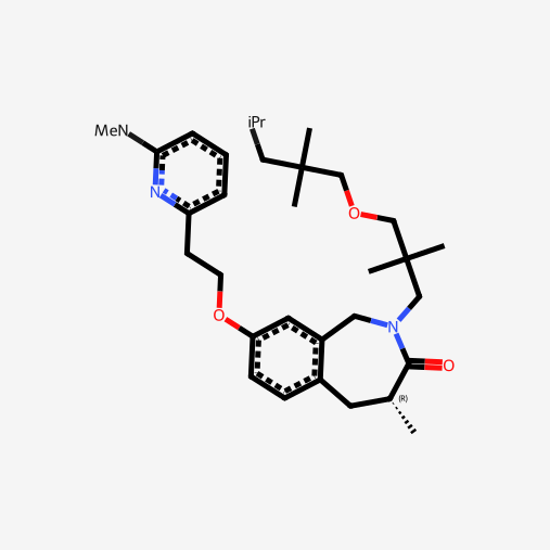 CNc1cccc(CCOc2ccc3c(c2)CN(CC(C)(C)COCC(C)(C)CC(C)C)C(=O)[C@H](C)C3)n1